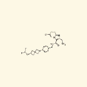 CCc1nc2ccc(Cl)cn2c1C(=O)NCc1ccc(N2CC3(CC(OC(F)F)C3)C2)cc1